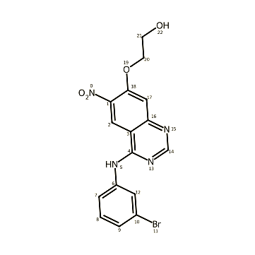 O=[N+]([O-])c1cc2c(Nc3cccc(Br)c3)ncnc2cc1OCCO